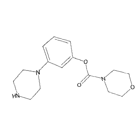 O=C(Oc1cccc(N2CCNCC2)c1)N1CCOCC1